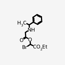 CCOC(=O)C(Br)OC(=O)CNC(C)c1ccccc1